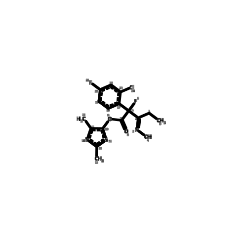 CCC(=NO)C(F)(C(=O)Oc1sc(C)nc1C)c1ccc(F)cc1Cl